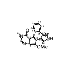 COc1cc2ncn(C)c(=O)c2cc1-c1c[nH]nc1-c1ccccn1